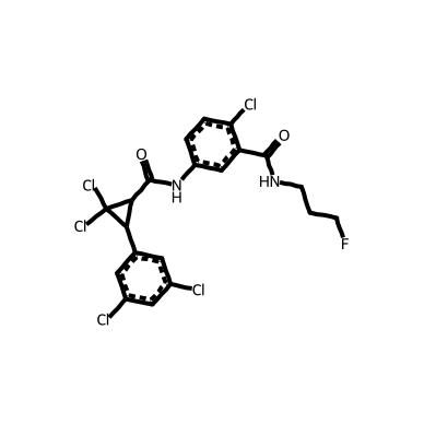 O=C(NCCCF)c1cc(NC(=O)C2C(c3cc(Cl)cc(Cl)c3)C2(Cl)Cl)ccc1Cl